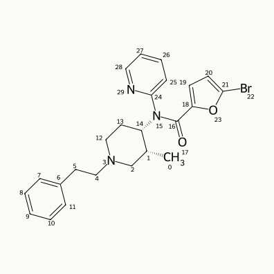 C[C@@H]1CN(CCc2ccccc2)CC[C@@H]1N(C(=O)c1ccc(Br)o1)c1ccccn1